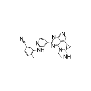 Cc1ccc(C#N)cc1Nc1cc(-c2nc(N3CCNCC3)c3c(C4CC4)cncc3n2)ccn1